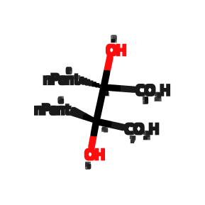 CCCCC[C@](O)(C(=O)O)[C@](O)(CCCCC)C(=O)O